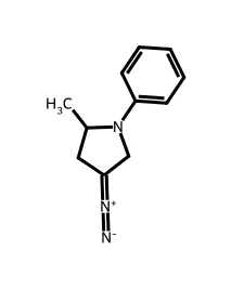 CC1CC(=[N+]=[N-])CN1c1ccccc1